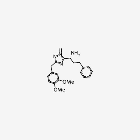 COc1ccc(Cc2n[nH]c([C@H](N)CCc3ccccc3)n2)cc1OC